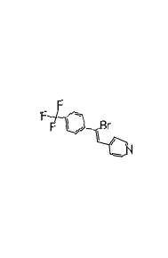 FC(F)(F)c1ccc(C(Br)=Cc2ccncc2)cc1